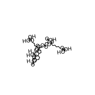 C[C@]12CCC(=O)C=C1CCC1C3CC[C@](OC(=O)CCCON(O)O)(C(=O)COC(=O)CC(OC(=O)CCCCCON(O)O)C(=O)O)[C@@]3(C)C[C@H](O)[C@@H]12